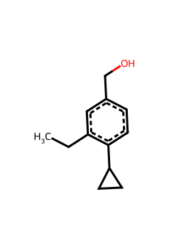 CCc1cc(CO)ccc1C1CC1